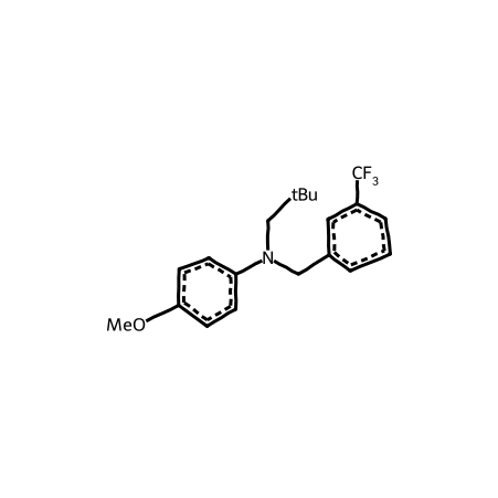 COc1ccc(N(Cc2cccc(C(F)(F)F)c2)CC(C)(C)C)cc1